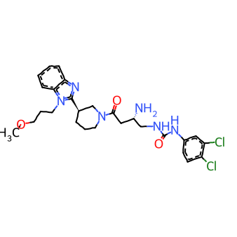 COCCCn1c([C@@H]2CCCN(C(=O)C[C@H](N)CNC(=O)Nc3ccc(Cl)c(Cl)c3)C2)nc2ccccc21